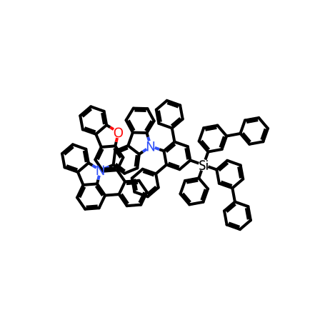 c1ccc(-c2cccc([Si](c3ccccc3)(c3cccc(-c4ccccc4)c3)c3cc(-c4ccccc4)c(-n4c5ccccc5c5cc(-n6c7ccccc7c7cccc(-c8ccccc8-c8ccc9c(c8)oc8ccccc89)c76)ccc54)c(-c4ccccc4)c3)c2)cc1